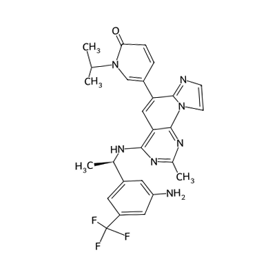 Cc1nc(N[C@H](C)c2cc(N)cc(C(F)(F)F)c2)c2cc(-c3ccc(=O)n(C(C)C)c3)c3nccn3c2n1